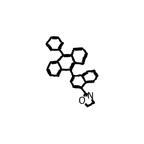 c1ccc(-c2c3ccccc3c(-c3ccc(C4=NCCO4)c4ccccc34)c3ccccc23)cc1